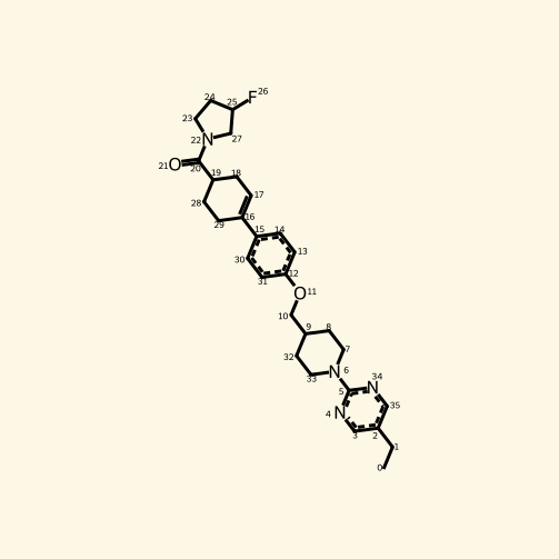 CCc1cnc(N2CCC(COc3ccc(C4=CCC(C(=O)N5CCC(F)C5)CC4)cc3)CC2)nc1